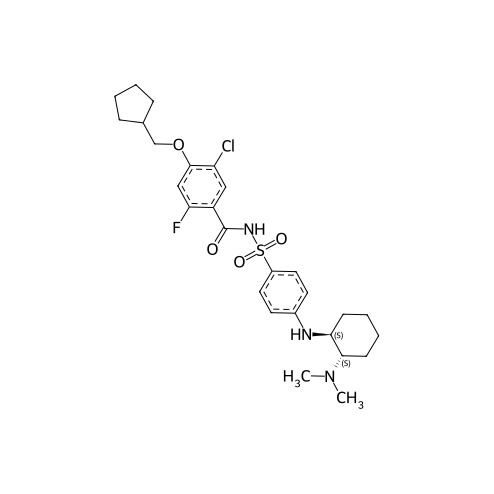 CN(C)[C@H]1CCCC[C@@H]1Nc1ccc(S(=O)(=O)NC(=O)c2cc(Cl)c(OCC3CCCC3)cc2F)cc1